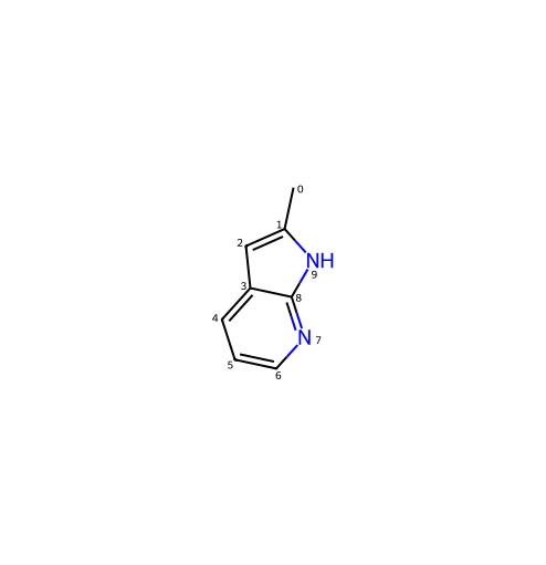 Cc1cc2cccnc2[nH]1